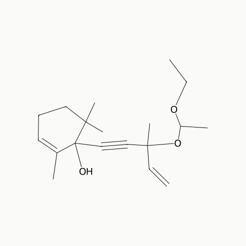 C=CC(C)(C#CC1(O)C(C)=CCCC1(C)C)OC(C)OCC